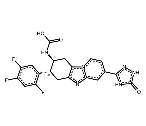 O=C(O)N[C@H]1Cc2c(nc3cc(-c4n[nH]c(=O)[nH]4)ccn23)C[C@@H]1c1cc(F)c(F)cc1F